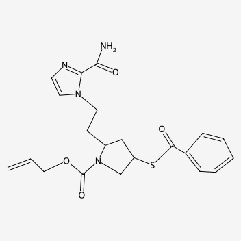 C=CCOC(=O)N1CC(SC(=O)c2ccccc2)CC1CCn1ccnc1C(N)=O